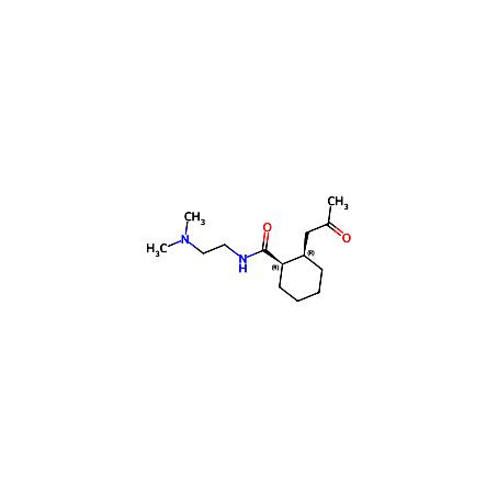 CC(=O)C[C@H]1CCCC[C@H]1C(=O)NCCN(C)C